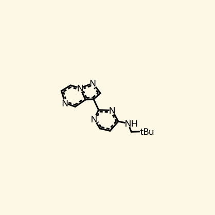 CC(C)(C)CNc1ccnc(-c2cnn3ccncc23)n1